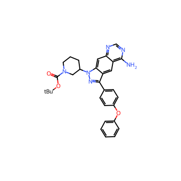 CC(C)(C)OC(=O)N1CCCC(n2nc(-c3ccc(Oc4ccccc4)cc3)c3cc4c(N)ncnc4cc32)C1